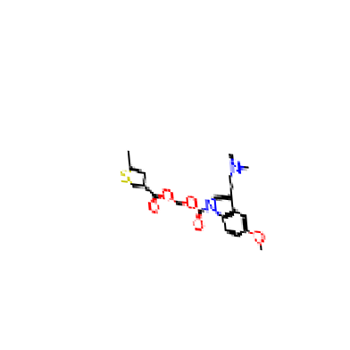 COc1ccc2c(c1)c(CCN(C)C)cn2C(=O)OCOC(=O)C1CSC(C)C1